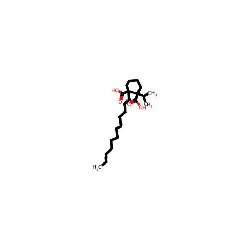 CCCCCCCCCCCCC1(C(=O)O)CCCCC1(C(=O)O)C(C)C